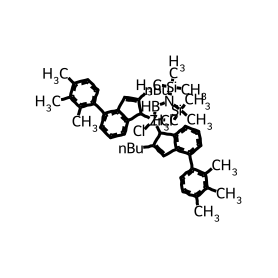 CCCCC1=Cc2c(-c3ccc(C)c(C)c3C)cccc2[CH]1[Zr]([Cl])([Cl])([BH]N([Si](C)(C)C)[Si](C)(C)C)[CH]1C(CCCC)=Cc2c(-c3ccc(C)c(C)c3C)cccc21